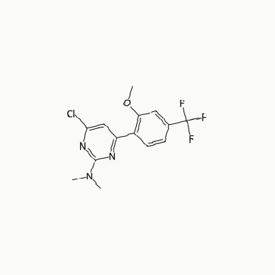 COc1cc(C(F)(F)F)ccc1-c1cc(Cl)nc(N(C)C)n1